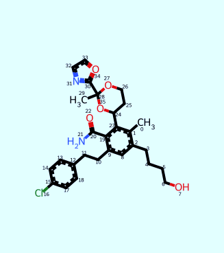 Cc1c(CCCCO)cc(CCc2ccc(Cl)cc2)c(C(N)=O)c1C1CCOC(C)(c2ncco2)O1